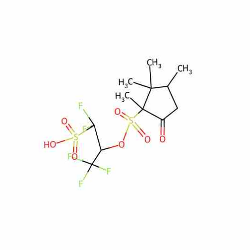 CC1CC(=O)C(C)(S(=O)(=O)OC(C(F)(F)F)C(F)(F)S(=O)(=O)O)C1(C)C